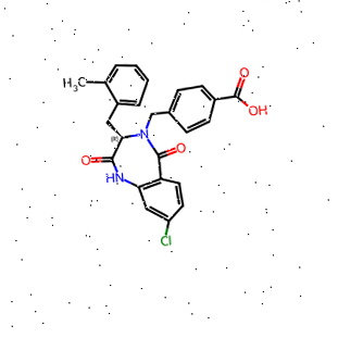 Cc1ccccc1C[C@@H]1C(=O)Nc2cc(Cl)ccc2C(=O)N1Cc1ccc(C(=O)O)cc1